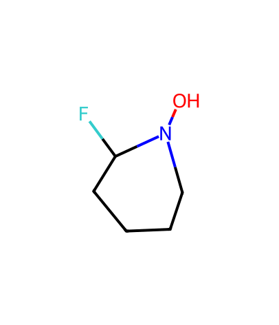 ON1CCCCC1F